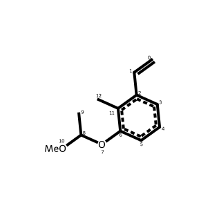 C=Cc1cccc(OC(C)OC)c1C